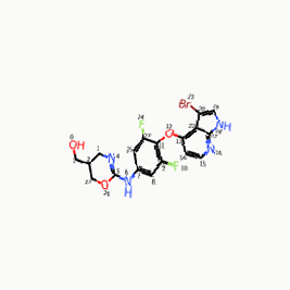 OCC1CN=C(Nc2cc(F)c(Oc3ccnc4[nH]cc(Br)c34)c(F)c2)OC1